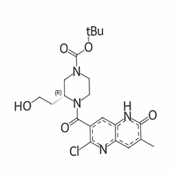 Cc1cc2nc(Cl)c(C(=O)N3CCN(C(=O)OC(C)(C)C)C[C@H]3CCO)cc2[nH]c1=O